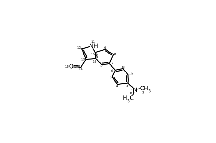 CN(C)c1ccc(-c2ccc3[nH]cc(C=O)c3c2)cc1